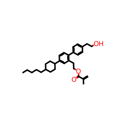 C=C(C)C(=O)OCCc1cc(C2CCC(CCCCC)CC2)ccc1-c1ccc(CCO)cc1